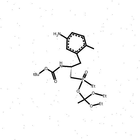 CCOC(C)(OCC)OP(=O)(CC)C[C@@H](Cc1cc(N)ccc1C)NC(=O)OC(C)(C)C